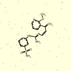 C=C(/C=C\N=C(/N)Nc1cccc(S(N)(=O)=O)c1)c1cccnc1OC